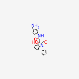 NCc1ccc(NC(=O)CC2(O)c3ccccc3N(Cc3ccccc3)C2C=O)cc1